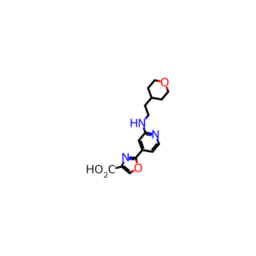 O=C(O)c1coc(-c2ccnc(NCCC3CCOCC3)c2)n1